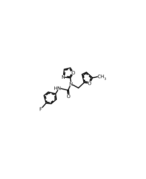 Cc1ccc(CN(C(=O)Nc2ccc(F)cc2)c2ncco2)o1